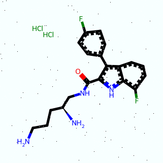 Cl.Cl.NCCC[C@H](N)CNC(=O)c1[nH]c2c(F)cccc2c1-c1ccc(F)cc1